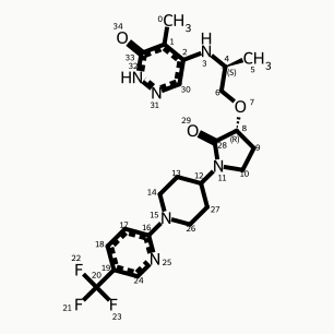 Cc1c(N[C@@H](C)CO[C@@H]2CCN(C3CCN(c4ccc(C(F)(F)F)cn4)CC3)C2=O)cn[nH]c1=O